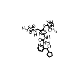 Cn1nnnc1Sc1sc(NC(=O)Nc2ncccc2C(=O)C2CCCC2)nc1CNS(C)(=O)=O